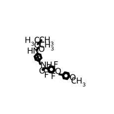 COc1ccc(COc2c(F)cc(C(=O)NCC34CCC(NC(=O)OC(C)(C)C)(CC3)CC4)c(F)c2F)cc1